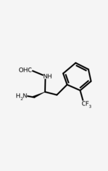 NC[C@H](Cc1ccccc1C(F)(F)F)NC=O